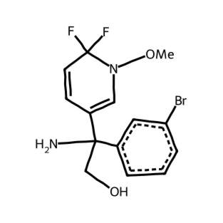 CON1C=C(C(N)(CO)c2cccc(Br)c2)C=CC1(F)F